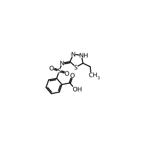 CCC1N[N]C(=NS(=O)(=O)c2ccccc2C(=O)O)S1